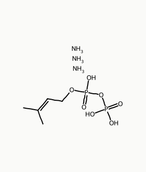 CC(C)=CCOP(=O)(O)OP(=O)(O)O.N.N.N